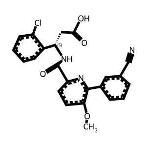 COc1ccc(C(=O)N[C@@H](CC(=O)O)c2ccccc2Cl)nc1-c1cccc(C#N)c1